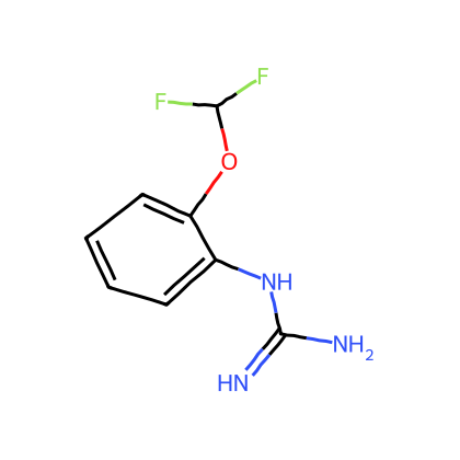 N=C(N)Nc1ccccc1OC(F)F